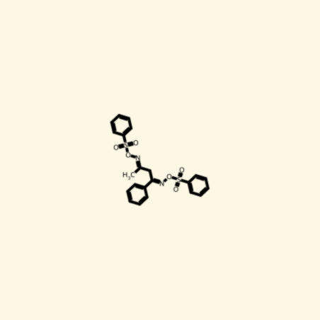 C/C(C/C(=N\OS(=O)(=O)c1ccccc1)c1ccccc1)=N\OS(=O)(=O)c1ccccc1